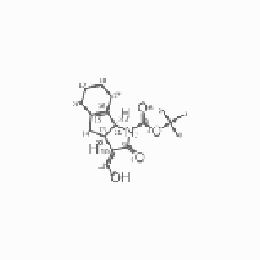 CC(C)(C)OC(=O)N1C(=O)/C(=C\O)[C@H]2CC3=C(CCCC3)[C@H]21